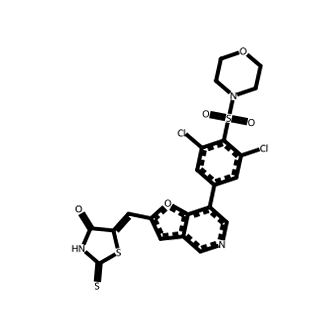 O=C1NC(=S)S/C1=C\c1cc2cncc(-c3cc(Cl)c(S(=O)(=O)N4CCOCC4)c(Cl)c3)c2o1